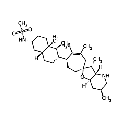 CC1=C(C)[C@H]([C@@H]2CC[C@@H]3C[C@H](NS(C)(=O)=O)CC[C@]3(C)[C@H]2C)CC[C@@]2(C1)O[C@@H]1C[C@H](C)CN[C@H]1[C@H]2C